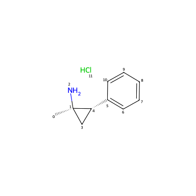 C[C@@]1(N)C[C@H]1c1ccccc1.Cl